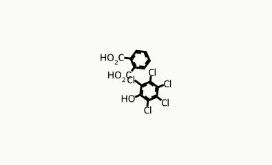 O=C(O)c1ccccc1C(=O)O.Oc1c(Cl)c(Cl)c(Cl)c(Cl)c1Cl